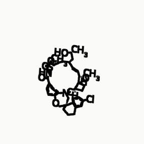 CO[C@H]1/C=C/[C@H](C[C@@H](C)O)C[C@@H](C)S(=O)(=O)NC(=O)c2ccc3c(c2)N(C[C@@H]2CC[C@H]21)C[C@@]1(CCCc2cc(Cl)ccc21)CO3